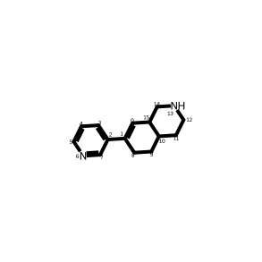 C1=C(c2cccnc2)CCC2CCNCC12